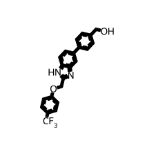 OCc1ccc(-c2ccc3[nH]c(COc4ccc(C(F)(F)F)cc4)nc3c2)cc1